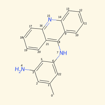 Cc1cc(N)cc(Nc2c3ccccc3nc3ccccc23)c1